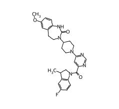 COc1ccc2c(c1)CCN(C1CCN(c3cc(C(=O)N4CC(C)c5cc(F)ccc54)ncn3)CC1)C(=O)N2